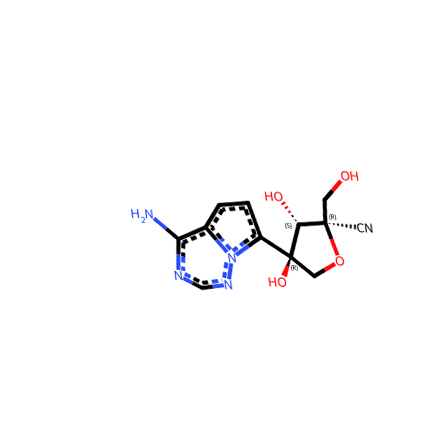 N#C[C@]1(CO)OC[C@](O)(c2ccc3c(N)ncnn23)[C@@H]1O